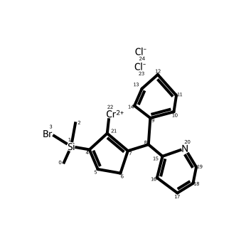 C[Si](C)(Br)C1=CCC(C(c2ccccc2)c2ccccn2)=[C]1[Cr+2].[Cl-].[Cl-]